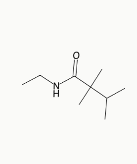 CCNC(=O)C(C)(C)C(C)C